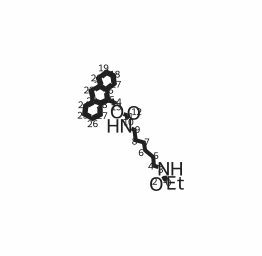 CCC(=O)NCCCCCCNC(=O)OCc1c2ccccc2cc2ccccc12